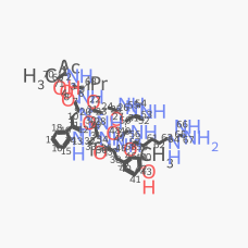 CC(=O)[C@@H](NC(=O)[C@@H](NC(=O)[C@H](Cc1c[nH]c2ccccc12)NC(=O)[C@H](CC(N)=O)NC(=O)[C@H](CC(C)C)NC(=O)C(Cc1ccc(O)cc1)NC(=O)[C@H](Cc1c[nH]cn1)NC(=O)[C@@H](C)CCCNC(=N)N)C(C)C)[C@@H](C)O